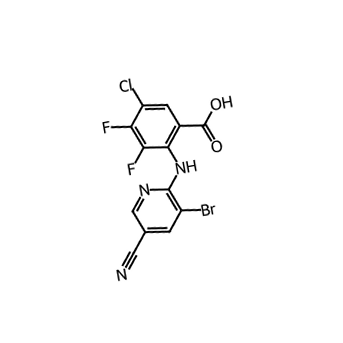 N#Cc1cnc(Nc2c(C(=O)O)cc(Cl)c(F)c2F)c(Br)c1